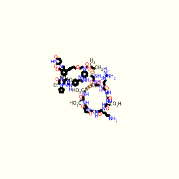 CC[C@@H]1C(=O)N(C)c2cnc(Nc3ccc(/C(N)=C/NC4CCC(N(CCOCCC#Cc5cccc6c5CN(C5CCC(=O)NC5=O)C6=O)C(=O)OC(C)C(C)SSCC(N)C(=O)N[C@H]5CSSC[C@@H](C(=O)O)NC(=O)[C@H](CC(=O)O)NC(=O)[C@@H]6CCCN6C(=O)CNC(=O)[C@H](CCCCN)NC(=O)[C@H](CC(=O)O)NC(=O)CNC(=O)[C@H](CCCN=C(N)N)NC5=O)CC4)cc3OC)nc2N1C1CCCC1